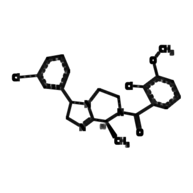 COc1cccc(C(=O)N2CCN3C(=NCC3c3cccc(Cl)c3)[C@@H]2C)c1Cl